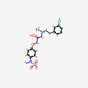 CCN(CCc1cccc(Cl)c1)CC(O)COc1ccc(N(C)S(C)(=O)=O)cc1